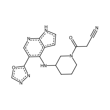 N#CCC(=O)N1CCCC(Nc2c(-c3nnco3)cnc3[nH]ccc23)C1